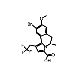 COc1cc2c(cc1Br)-c1c(CC(F)(F)F)cc(C(=O)O)n1[C@H](C)C2